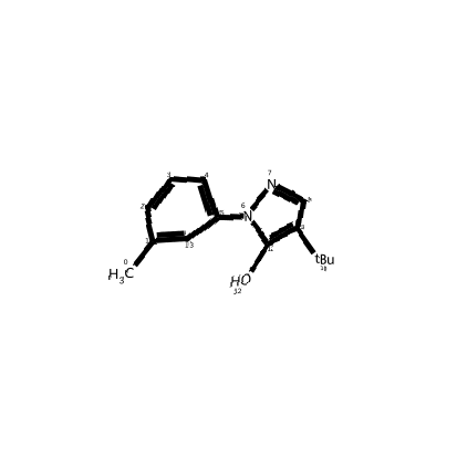 Cc1cccc(-n2ncc(C(C)(C)C)c2O)c1